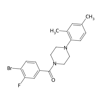 Cc1ccc(N2CCN(C(=O)c3ccc(Br)c(F)c3)CC2)c(C)c1